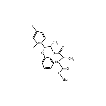 C[C@H](NC(=O)OC(C)(C)C)C(=O)O[C@@H](C)[C@H](Oc1ccccc1)c1ccc(F)cc1F